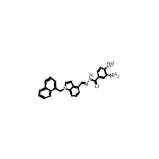 Nc1cc(C(=O)N/N=C/c2cccc3c2ccn3Cc2cccc3ccccc23)ccc1O